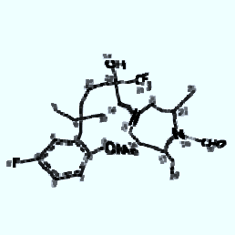 COc1ccc(F)cc1C(C)(C)CC(O)(CN1CC(C)N(C=O)C(C)C1)C(F)(F)F